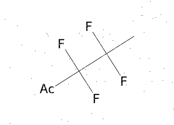 CC(=O)C(F)(F)C(C)(F)F